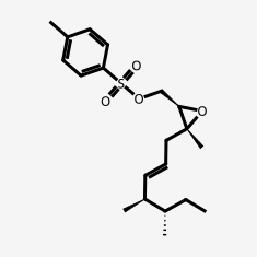 CC[C@H](C)[C@@H](C)/C=C/C[C@@]1(C)O[C@@H]1COS(=O)(=O)c1ccc(C)cc1